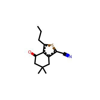 CCCc1sc(C#N)c2c1C(=O)CC(C)(C)C2